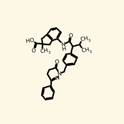 CC(C)C(C(=O)Nc1cccc2c1CC(C)(C(=O)O)C2)c1ccc(CN2N=C(c3ccccc3)CCC2=O)cc1